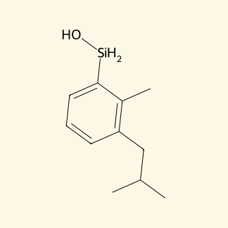 Cc1c(CC(C)C)cccc1[SiH2]O